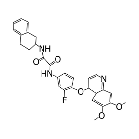 COC1=CC2=NC=CC(Oc3ccc(NC(=O)C(=O)NC4CCc5ccccc5C4)cc3F)C2C=C1OC